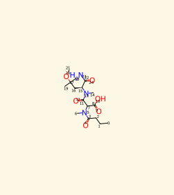 CCCC(=O)N(C)C(C(=O)O)C(=O)N(C)[C@@H](CC(C)(C)OC)C(N)=O